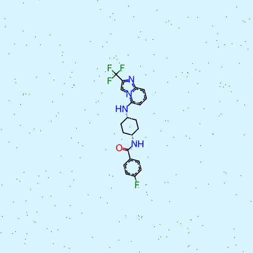 O=C(N[C@H]1CC[C@@H](Nc2cccc3nc(C(F)(F)F)cn23)CC1)c1ccc(F)cc1